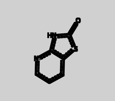 O=c1[nH]c2ncccc2s1